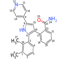 Cc1cccc(-c2[nH]c(-c3ccncc3)cc2-c2ccccc2C(N)=O)c1C